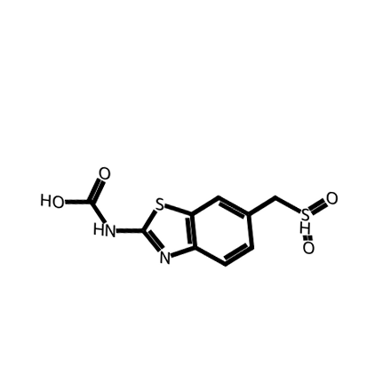 O=C(O)Nc1nc2ccc(C[SH](=O)=O)cc2s1